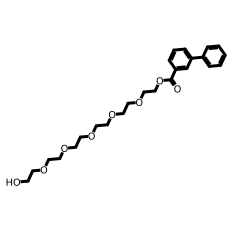 O=C(OCCOCCOCCOCCOCCOCCO)c1cccc(-c2ccccc2)c1